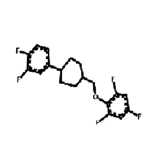 Fc1cc(F)c(OCC2CCC(c3ccc(F)c(F)c3)CC2)c(F)c1